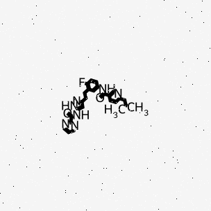 CC(C)Cc1ccc(C(=O)Nc2ccc(F)c(CCc3cc(NC(=O)c4ncccn4)[nH]n3)c2)cn1